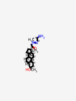 CN(CC(=O)[C@H]1CC[C@H]2[C@@H]3CC[C@H]4C[C@](C)(O)CC[C@]4(C)[C@H]3CC[C@]12C)/N=C\CN